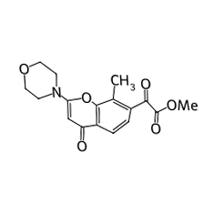 COC(=O)C(=O)c1ccc2c(=O)cc(N3CCOCC3)oc2c1C